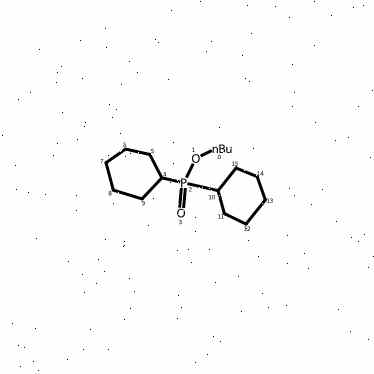 CCCCOP(=O)(C1CCCCC1)C1CCCCC1